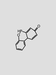 O=C1C=CC2C(=C1)POc1ccccc12